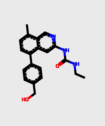 CCNC(=O)Nc1cc2c(-c3ccc(CO)cc3)ccc(C)c2cn1